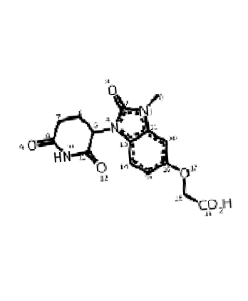 Cn1c(=O)n(C2CCC(=O)NC2=O)c2ccc(OCC(=O)O)cc21